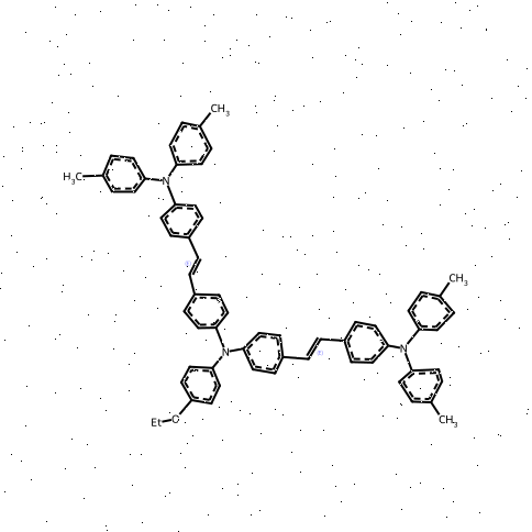 CCOc1ccc(N(c2ccc(/C=C/c3ccc(N(c4ccc(C)cc4)c4ccc(C)cc4)cc3)cc2)c2ccc(/C=C/c3ccc(N(c4ccc(C)cc4)c4ccc(C)cc4)cc3)cc2)cc1